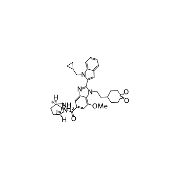 COc1cc(C(=O)N2C[C@H]3CC[C@@H]2[C@@H]3N)cc2nc(-c3cc4ccccc4n3CC3CC3)n(CCC3CCS(=O)(=O)CC3)c12